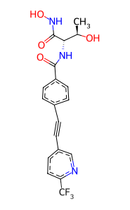 C[C@@H](O)[C@H](NC(=O)c1ccc(C#Cc2ccc(C(F)(F)F)nc2)cc1)C(=O)NO